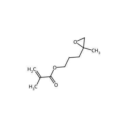 C=C(C)C(=O)OCCCC1(C)CO1